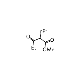 CCCC(C(=O)CC)C(=O)OC